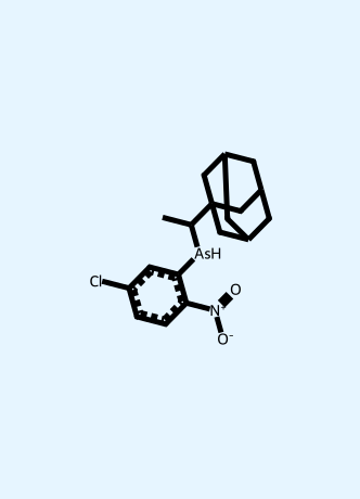 CC([AsH]c1cc(Cl)ccc1[N+](=O)[O-])C12CC3CC(CC(C3)C1)C2